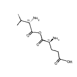 CC(C)[C@H](N)C(=O)OC(=O)[C@@H](N)CCC(=O)O